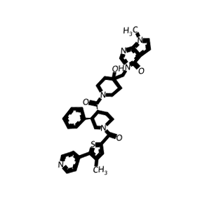 Cc1cc(C(=O)N2CC[C@@H](C(=O)N3CCC(O)(Cn4cnc5c(ccn5C)c4=O)CC3)[C@H](c3ccccc3)C2)sc1-c1ccncc1